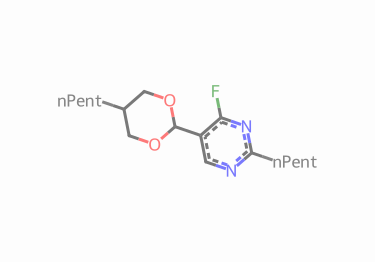 CCCCCc1ncc(C2OCC(CCCCC)CO2)c(F)n1